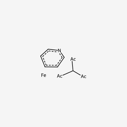 CC(=O)C(C(C)=O)C(C)=O.[Fe].c1ccncc1